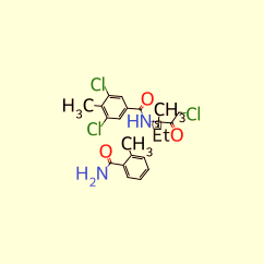 CC[C@](C)(NC(=O)c1cc(Cl)c(C)c(Cl)c1)C(=O)CCl.Cc1ccccc1C(N)=O